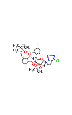 CC1(C)O[C@H]2[C@@H](O1)[C@H](n1ccc3c(Cl)ncnc31)O[C@@H]2[C@@H](c1ccc(Cl)cc1CCO[Si](C)(C)C(C)(C)C)N1C(=O)c2ccccc2C1=O